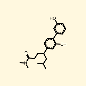 CC(C)CC(CCC(=O)N(C)C)c1ccc(-c2cccc(O)c2)c(O)c1